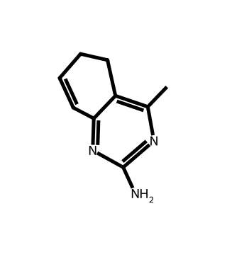 Cc1nc(N)nc2c1CCC=C2